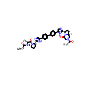 COC(=O)N[C@H](C(=O)N1CCC[C@H]1c1ncc(-c2ccc(-c3ccc(-c4cnc([C@@H]5CC[C@H]6CN(C(=O)OC)CC(=O)N65)[nH]4)cc3)cc2)[nH]1)C(C)C